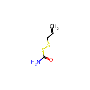 C=CCSSC(N)=O